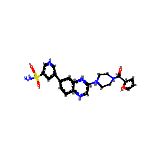 NS(=O)(=O)c1cncc(-c2ccc3ncc(N4CCN(C(=O)c5ccco5)CC4)nc3c2)c1